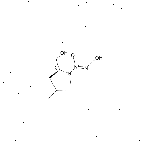 CC(C)C[C@@H](CO)N(C)[N+]([O-])=NO